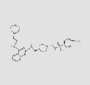 Cc1ccc(S(=O)(=O)NC[C@H]2CC[C@H](CNc3nc(NCCN4CCOCC4)c4ccccc4n3)CC2)cc1